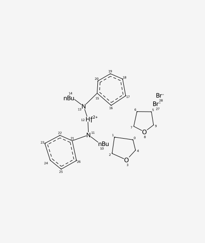 C1CCOC1.C1CCOC1.CCCC[N]([Hf+2][N](CCCC)c1ccccc1)c1ccccc1.[Br-].[Br-]